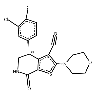 N#Cc1c(N2CCOCC2)sc2c1[C@@H](c1ccc(Cl)c(Cl)c1)CNC2=O